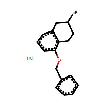 CCCC1CCc2c(cccc2OCc2ccccc2)C1.Cl